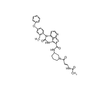 CC(=O)NC=CC(=O)N1CCCC(NC(=O)c2sc3nccc4c3c2NC(=O)N4c2ccc(Oc3ccccc3)cc2C)C1